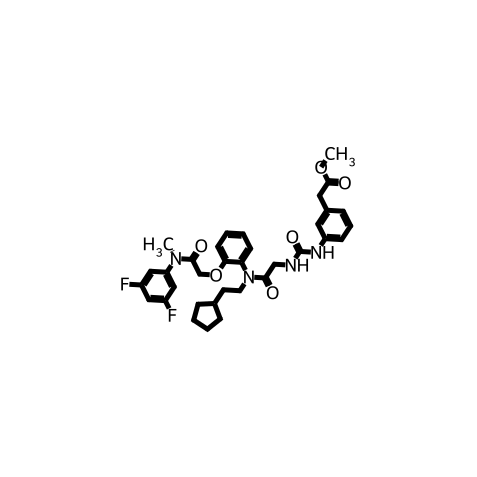 COC(=O)Cc1cccc(NC(=O)NCC(=O)N(CCC2CCCC2)c2ccccc2OCC(=O)N(C)c2cc(F)cc(F)c2)c1